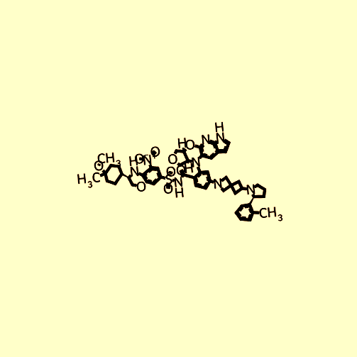 COC1(C)CCC([C@@H]2COc3cc(S(=O)(=O)NC(=O)c4ccc(N5CC6(CC(N7CCC[C@H]7c7ccccc7C)C6)C5)cc4N4c5cc6cc[nH]c6nc5O[C@H]5COC[C@@H]54)cc([N+](=O)[O-])c3N2)CC1